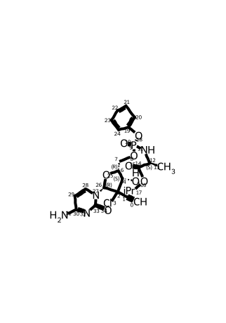 C#CC1(Cl)[C@@H](O)[C@@H](COP(=O)(N[C@@H](C)C(=O)OC(C)C)Oc2ccccc2)O[C@H]1n1ccc(N)nc1=O